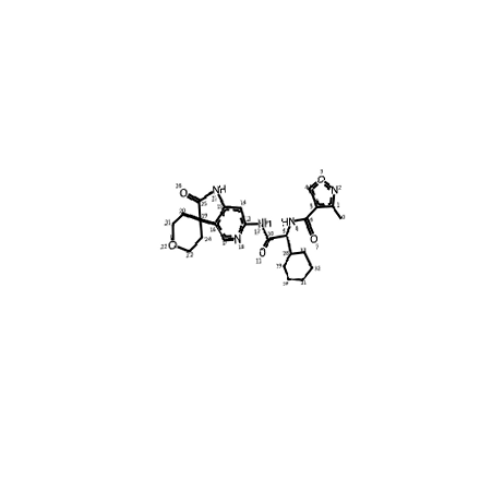 Cc1nocc1C(=O)NC(C(=O)Nc1cc2c(cn1)C1(CCOCC1)C(=O)N2)C1CCCCC1